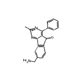 Cc1nc(-c2ccccc2)c2c(n1)-c1cc(CN)ccc1C2=O